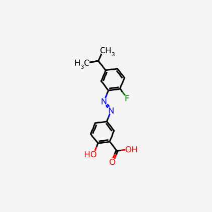 CC(C)c1ccc(F)c(/N=N/c2ccc(O)c(C(=O)O)c2)c1